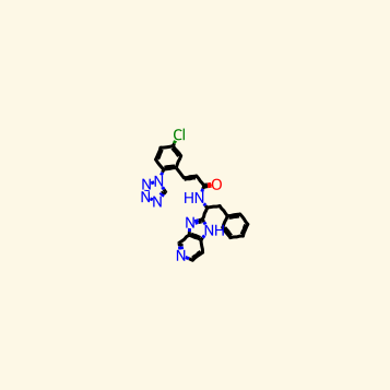 O=C(/C=C/c1cc(Cl)ccc1-n1cnnn1)NC(Cc1ccccc1)c1nc2cnccc2[nH]1